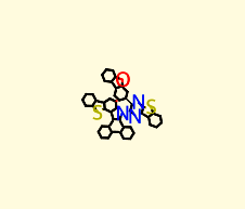 c1ccc2c(c1)oc1cc(-c3nc4sc5ccccc5c4nc3-n3c4ccc5c6ccccc6sc5c4c4c5ccccc5c5ccccc5c43)ccc12